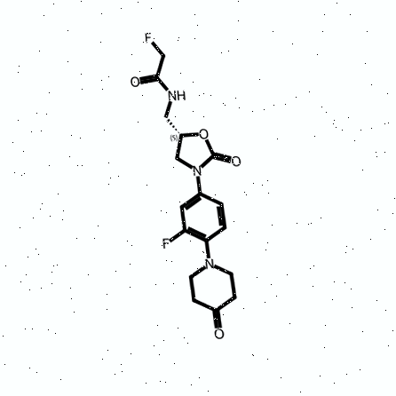 O=C1CCN(c2ccc(N3C[C@H](CNC(=O)CF)OC3=O)cc2F)CC1